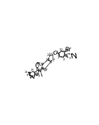 N#Cc1ccc(OC2CC3CC(NC(=O)c4cccnn4)CC3C2)cc1Br